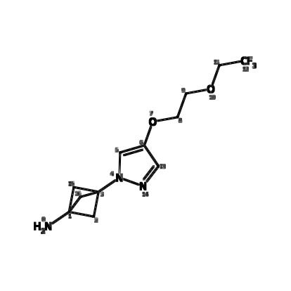 NC12CC(n3cc(OCCOCC(F)(F)F)cn3)(C1)C2